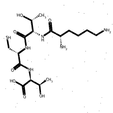 C[C@@H](O)[C@H](NC(=O)[C@H](CS)NC(=O)[C@@H](NC(=O)[C@@H](N)CCCCN)[C@@H](C)O)C(=O)O